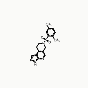 Cc1ccc(C)c(S(=O)(=O)N2CCc3c(cnc4[nH]ncc34)C2)c1